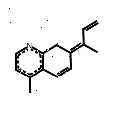 C=C/C(C)=C1/C=Cc2c(C)ccnc2C1